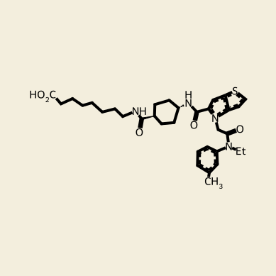 CCN(C(=O)Cn1c(C(=O)N[C@H]2CC[C@H](C(=O)NCCCCCCCC(=O)O)CC2)cc2sccc21)c1cccc(C)c1